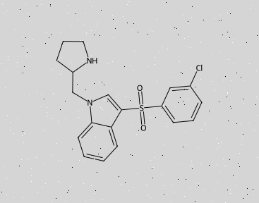 O=S(=O)(c1cccc(Cl)c1)c1cn(CC2CCCN2)c2ccccc12